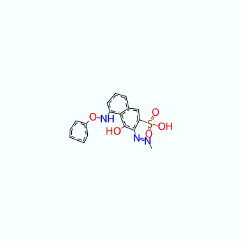 C/N=N/c1c(S(=O)(=O)O)cc2cccc(NOc3ccccc3)c2c1O